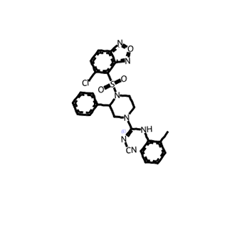 Cc1ccccc1N/C(=N\C#N)N1CCN(S(=O)(=O)c2c(Cl)ccc3nonc23)C(c2ccccc2)C1